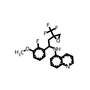 COc1cccc(C(CC2(C(F)(F)F)CO2)Nc2cccc3ncccc23)c1F